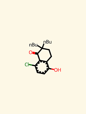 CCCCC1(CCCC)CCc2c(O)ccc(Cl)c2C1=O